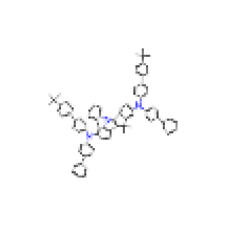 CC(C)(C)c1ccc(-c2ccc(N(c3ccc(-c4ccccc4)cc3)c3ccc4c(c3)C(C)(C)c3c-4n4c5ccccc5c5c(N(c6ccc(-c7ccccc7)cc6)c6ccc(-c7ccc(C(C)(C)C)cc7)cc6)ccc3c54)cc2)cc1